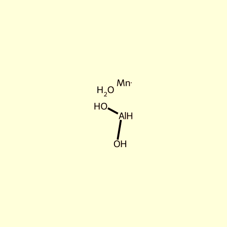 O.[Mn].[OH][AlH][OH]